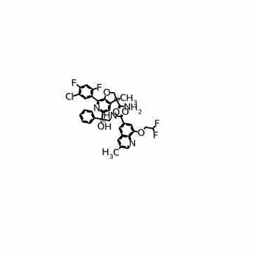 Cc1cnc2c(OCC(F)F)cc(C(=O)NC[C@@](O)(c3ccccc3)c3cc4c(c(-c5cc(Cl)c(F)cc5F)n3)OC[C@]4(C)C(N)=O)cc2c1